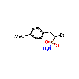 CCC(Cc1ccc(OC)cc1)S(N)(=O)=O